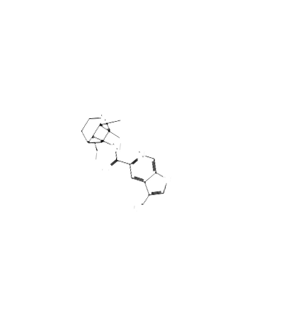 CC1(C)[C@H](NC(=O)c2cc3c(Cl)coc3cn2)C2CCN1CC2